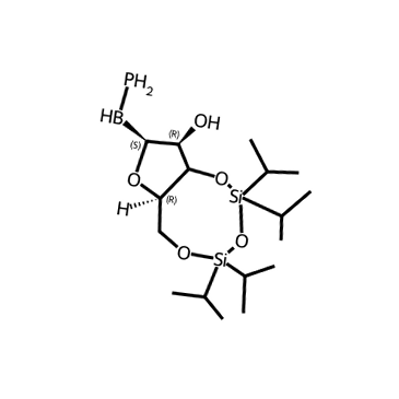 CC(C)[Si]1(C(C)C)OC[C@H]2O[C@@H](BP)[C@@H](O)C2O[Si](C(C)C)(C(C)C)O1